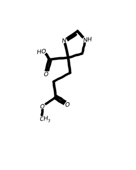 COC(=O)CCC1(C(=O)O)CNC=N1